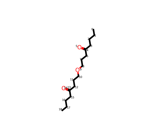 CCCCC(=O)CCCOCCCC(=O)CCCC